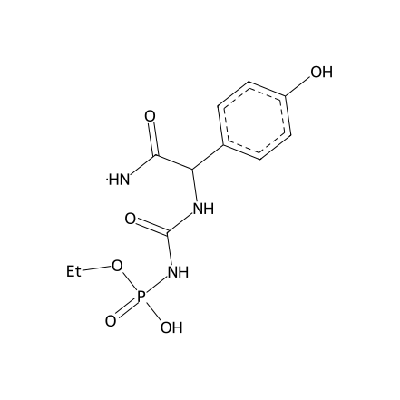 CCOP(=O)(O)NC(=O)NC(C([NH])=O)c1ccc(O)cc1